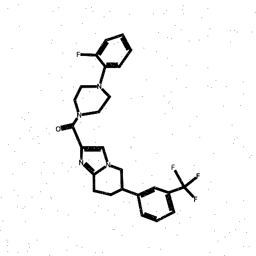 O=C(c1cn2c(n1)CCC(c1cccc(C(F)(F)F)c1)C2)N1CCN(c2ccccc2F)CC1